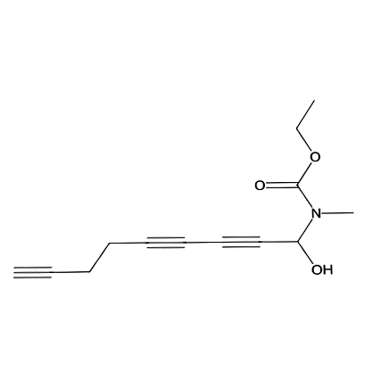 C#CCCC#CC#CC(O)N(C)C(=O)OCC